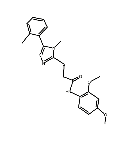 COc1ccc(NC(=O)CSc2nnc(-c3ccccc3C)n2C)c(OC)c1